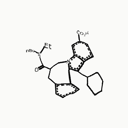 CCCCN(CC)C(=O)C1Cc2ccccc2-c2c(C3CCCCC3)c3ccc(C(=O)O)cc3n2C1